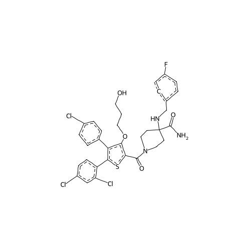 NC(=O)C1(NCc2ccc(F)cc2)CCN(C(=O)c2sc(-c3ccc(Cl)cc3Cl)c(-c3ccc(Cl)cc3)c2OCCCO)CC1